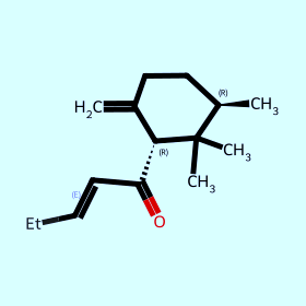 C=C1CC[C@@H](C)C(C)(C)[C@@H]1C(=O)/C=C/CC